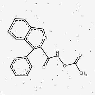 CC(=O)ONC(=O)c1ncc2ccccc2c1-c1ccccc1